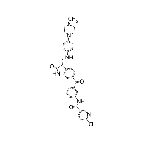 CN1CCN(c2ccc(N/C=C3/C(=O)Nc4cc(C(=O)c5cccc(NC(=O)c6ccc(Cl)nc6)c5)ccc43)cc2)CC1